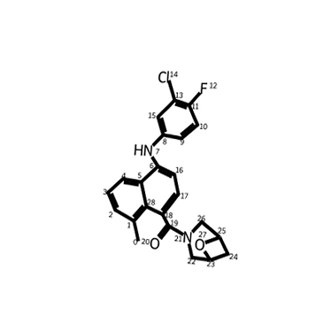 Cc1cccc2c(Nc3ccc(F)c(Cl)c3)ccc(C(=O)N3CC4CC(C3)O4)c12